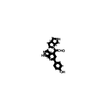 O=CC(c1cc(-c2ccc(O)cc2)nc2[nH]ncc12)N1CCC2CNCC21